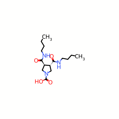 CCCCNC(=O)[C@@H]1CN(C(=O)O)C[C@H]1C(=O)NCCCC